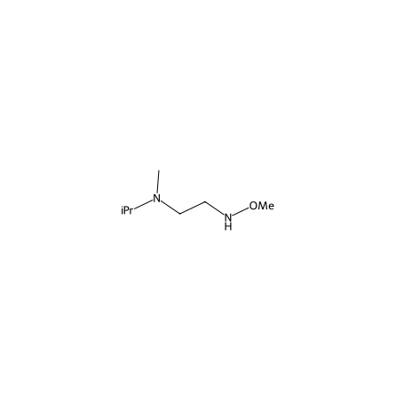 CONCCN(C)C(C)C